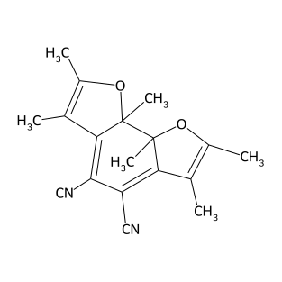 [C-]#[N+]C1=C2C(C)=C(C)OC2(C)C2(C)OC(C)=C(C)C2=C1C#N